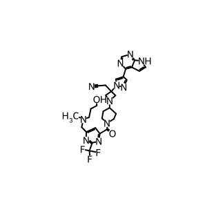 CN(CCCO)Cc1cc(C(=O)N2CCC(N3CC(CC#N)(n4cc(-c5ncnc6[nH]ccc56)cn4)C3)CC2)nc(C(F)(F)F)n1